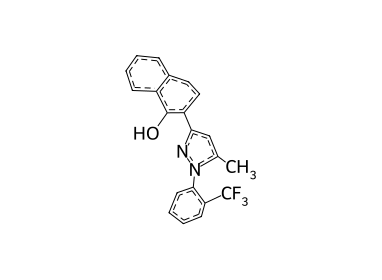 Cc1cc(-c2ccc3ccccc3c2O)nn1-c1ccccc1C(F)(F)F